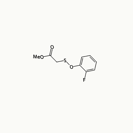 COC(=O)CSOc1ccccc1F